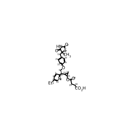 CCc1ccc([C@@H](COc2ccc(CC3(C)SC(=O)NC3=O)cc2)C2CC2OC(=O)CCC(=O)O)nc1